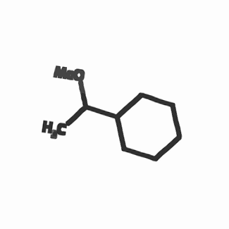 COC(C)C1CCCCC1